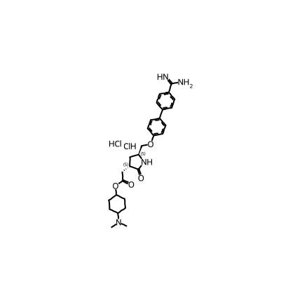 CN(C)C1CCC(OC(=O)C[C@@H]2C[C@@H](COc3ccc(-c4ccc(C(=N)N)cc4)cc3)NC2=O)CC1.Cl.Cl